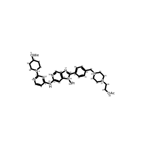 COC1CCN(c2nccc(Nc3cc4c(cn3)nc(-c3ccc(CN5CCN(CCOC(C)=O)CC5)cc3)n4C(C)C)n2)CC1